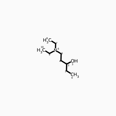 CC[C](O)CCN(CC)CC